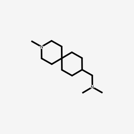 CN(C)CC1CCC2(CC1)CCN(C)CC2